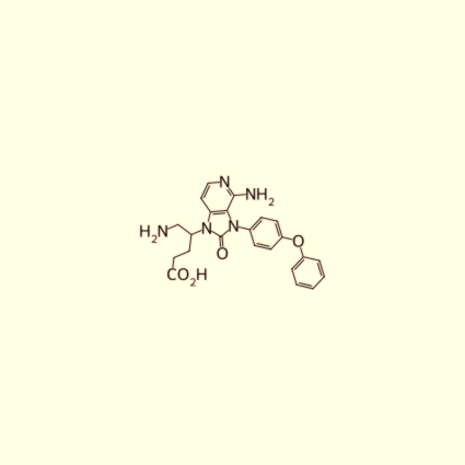 NCC(CCC(=O)O)n1c(=O)n(-c2ccc(Oc3ccccc3)cc2)c2c(N)nccc21